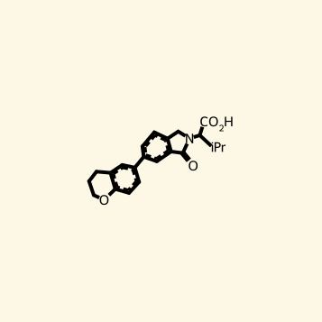 CC(C)C(C(=O)O)N1Cc2ccc(-c3ccc4c(c3)CCCO4)cc2C1=O